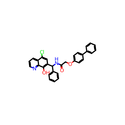 O=C(COc1ccc(-c2ccccc2)cc1)NC(c1ccccc1)c1cc(Cl)c2cccnc2c1O